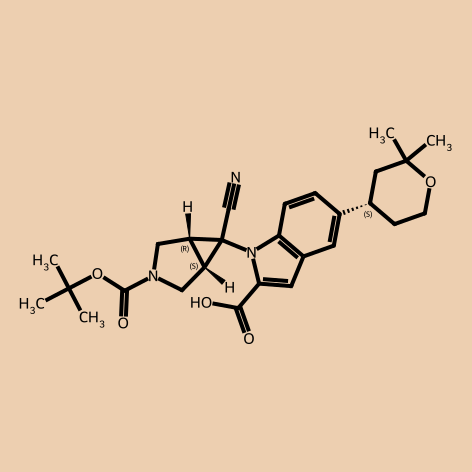 CC(C)(C)OC(=O)N1C[C@@H]2[C@H](C1)C2(C#N)n1c(C(=O)O)cc2cc([C@H]3CCOC(C)(C)C3)ccc21